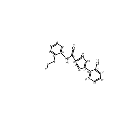 CCCc1ccccc1NC(=O)c1ccc(-c2ncccc2Cl)cn1